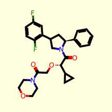 O=C(CO[C@H](C(=O)N1CC(c2cc(F)ccc2F)C[C@H]1c1ccccc1)C1CC1)N1CCOCC1